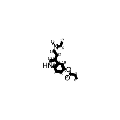 CCC(=O)Oc1ccc2[nH]cc(CCN(C)CC)c2c1